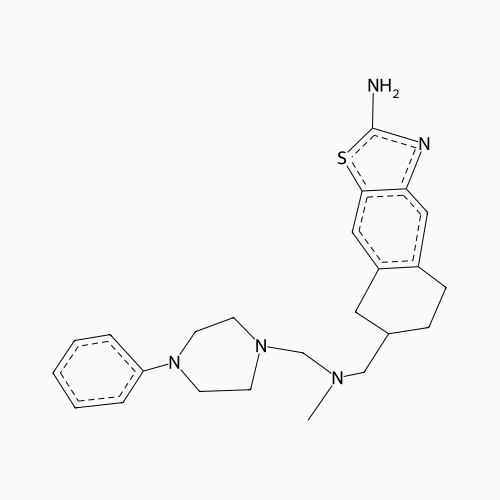 CN(CC1CCc2cc3nc(N)sc3cc2C1)CN1CCN(c2ccccc2)CC1